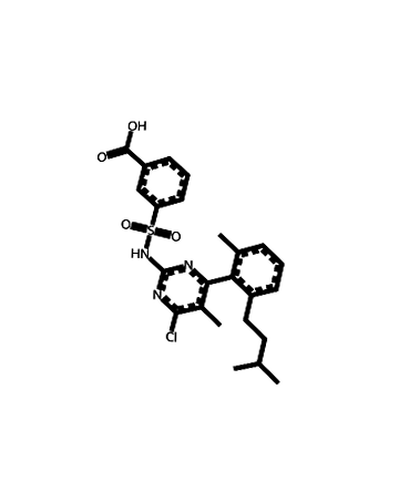 Cc1cccc(CCC(C)C)c1-c1nc(NS(=O)(=O)c2cccc(C(=O)O)c2)nc(Cl)c1C